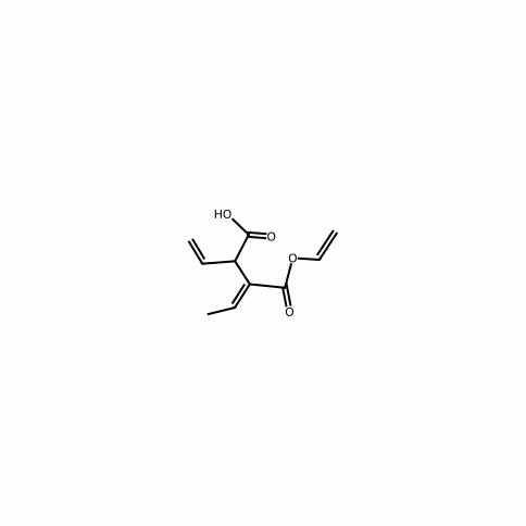 C=COC(=O)C(=CC)C(C=C)C(=O)O